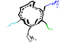 Cc1c(F)ccc(N)c1Cl